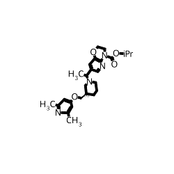 Cc1cc(OC[C@@H]2CCCN(C(C)c3cnc4c(c3)OCCN4C(=O)OC(C)C)C2)cc(C)n1